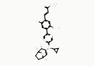 CNC(=O)/C=C/c1cc(O)c(-c2cnc(N(C3CC3)[C@H]3C[C@]4(C)CC[C@@](C)(N4)[C@H]3F)cn2)cc1F